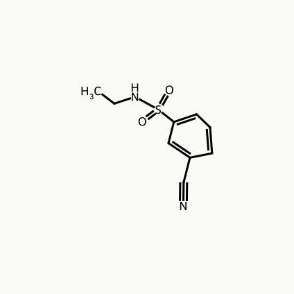 CCNS(=O)(=O)c1cccc(C#N)c1